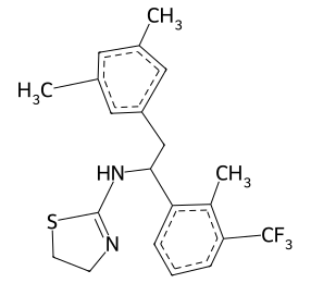 Cc1cc(C)cc(CC(NC2=NCCS2)c2cccc(C(F)(F)F)c2C)c1